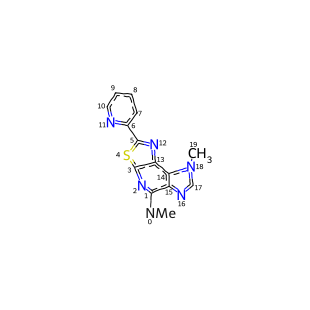 CNc1nc2sc(-c3ccccn3)nc2c2c1ncn2C